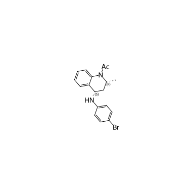 CC(=O)N1c2ccccc2[C@@H](Nc2ccc(Br)cc2)C[C@H]1C